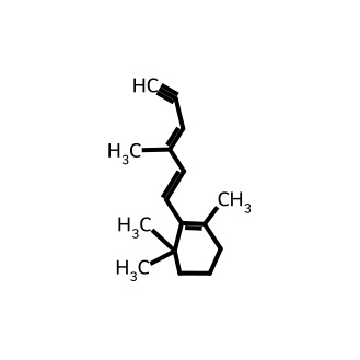 C#C/C=C(C)/C=C/C1=C(C)CCCC1(C)C